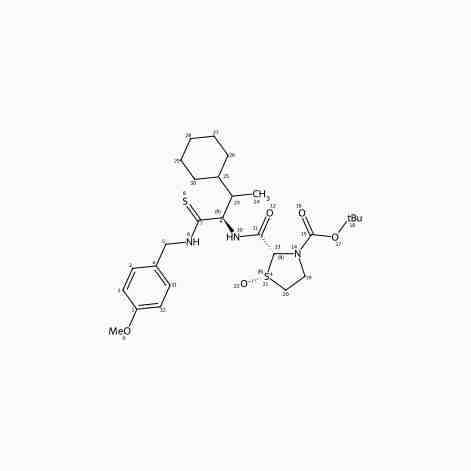 COc1ccc(CNC(=S)[C@H](NC(=O)[C@@H]2N(C(=O)OC(C)(C)C)CC[S@+]2[O-])C(C)C2CCCCC2)cc1